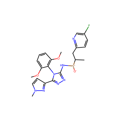 COc1cccc(OC)c1-n1c(N[S+]([O-])C(C)Cc2ccc(F)cn2)nnc1-c1ccn(C)n1